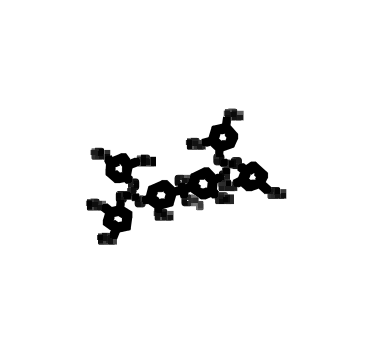 CC(C)(C)c1ccc(OP(Oc2ccc(C(C)(C)C)cc2C(C)(C)C)Oc2ccc(C(C)(C)c3ccc(OP(Oc4ccc(C(C)(C)C)cc4C(C)(C)C)Oc4ccc(C(C)(C)C)cc4C(C)(C)C)c(C(C)(C)C)c3)cc2C(C)(C)C)c(C(C)(C)C)c1